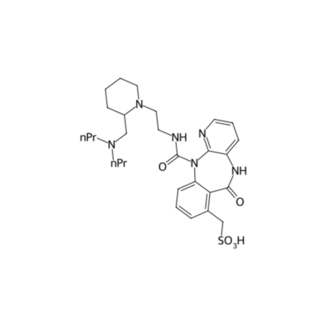 CCCN(CCC)CC1CCCCN1CCNC(=O)N1c2cccc(CS(=O)(=O)O)c2C(=O)Nc2cccnc21